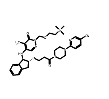 C[Si](C)(C)CCOCn1ncc(N[C@@H]2c3ccccc3C[C@H]2OCCC(=O)N2CCN(c3ccc(C#N)cn3)CC2)c(C(F)(F)F)c1=O